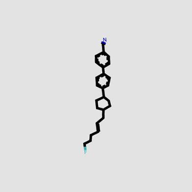 N#Cc1ccc(-c2ccc(C3CCC(CC=CCCCF)CC3)cc2)cc1